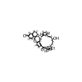 CC[C@@H]1CC[C@@H](O)/C=C/[C@@H]2CC[C@H]2CN2C[C@@]3(CCCc4cc(Cl)ccc43)COc3ccc(cc32)C(=O)NS1(=O)=O